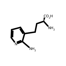 Nc1ncccc1CC[C@H](N)C(=O)O